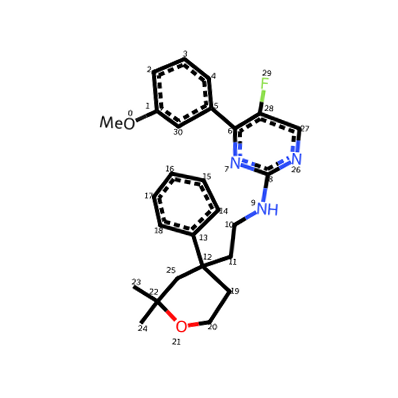 COc1cccc(-c2nc(NCCC3(c4ccccc4)CCOC(C)(C)C3)ncc2F)c1